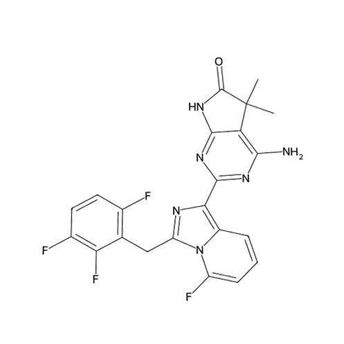 CC1(C)C(=O)Nc2nc(-c3nc(Cc4c(F)ccc(F)c4F)n4c(F)cccc34)nc(N)c21